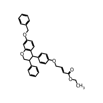 CCOC(=O)C=CCOc1ccc(C2c3ccc(OCc4ccccc4)cc3OCC2c2ccccc2)cc1